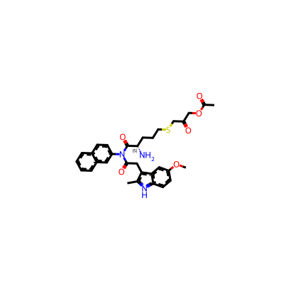 COc1ccc2[nH]c(C)c(CC(=O)N(C(=O)[C@@H](N)CCCSCC(=O)COC(C)=O)c3ccc4ccccc4c3)c2c1